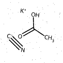 CC(=O)O.[C-]#N.[K+]